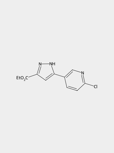 CCOC(=O)c1cc(-c2ccc(Cl)nc2)[nH]n1